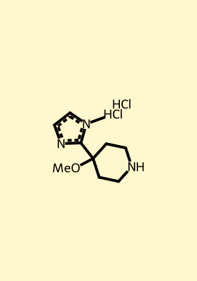 COC1(c2nccn2C)CCNCC1.Cl.Cl